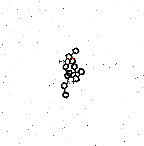 c1ccc(-c2ccc(Nc3ccc(-c4ccc(Nc5cccc(-c6ccccc6)c5)c(-c5cccc6c5C(c5ccccc5)(c5ccccc5)c5ccccc5-6)c4)cc3-c3ccccc3)cc2)cc1